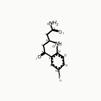 NC(=O)CC1CC(=O)c2cc(F)ccc2N1